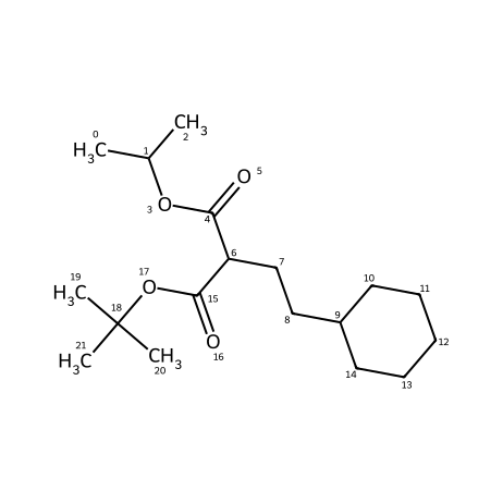 CC(C)OC(=O)C(CCC1CCCCC1)C(=O)OC(C)(C)C